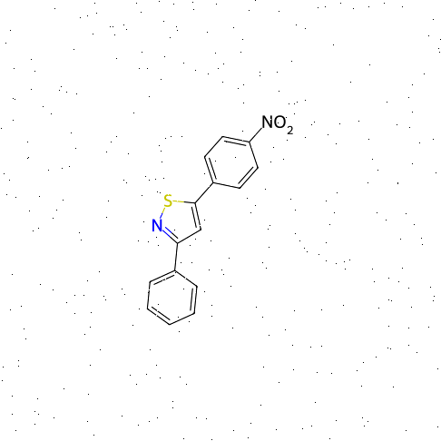 O=[N+]([O-])c1ccc(-c2cc(-c3ccccc3)ns2)cc1